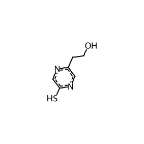 OCCc1cnc(S)cn1